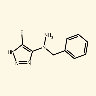 NN(Cc1ccccc1)c1nn[nH]c1F